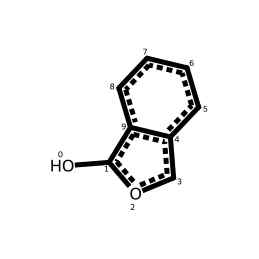 Oc1occ2ccccc12